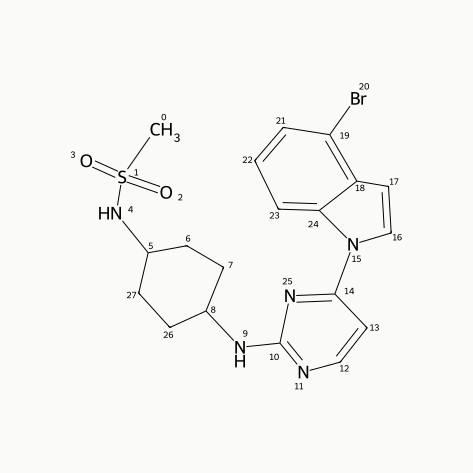 CS(=O)(=O)NC1CCC(Nc2nccc(-n3ccc4c(Br)cccc43)n2)CC1